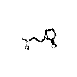 O=C1CCCN1CCNI